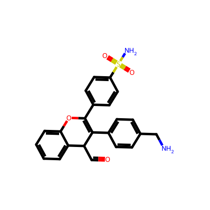 NCc1ccc(C2=C(c3ccc(S(N)(=O)=O)cc3)Oc3ccccc3C2C=O)cc1